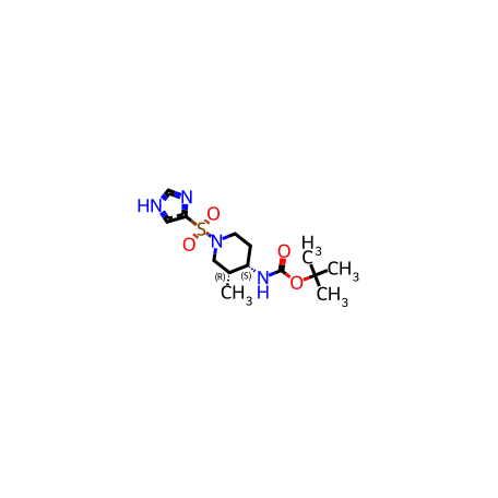 C[C@@H]1CN(S(=O)(=O)c2c[nH]cn2)CC[C@@H]1NC(=O)OC(C)(C)C